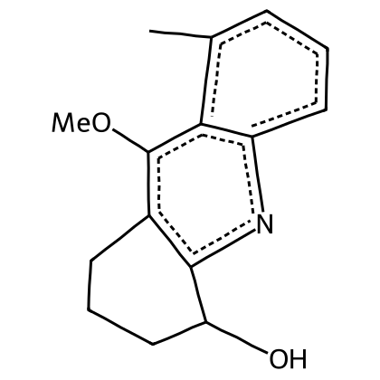 COc1c2c(nc3cccc(C)c13)C(O)CCC2